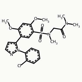 COc1cc(OC)c(S(=O)(=O)N(C)CC(=O)N(C)C)cc1-c1ccnn1-c1ccccc1Cl